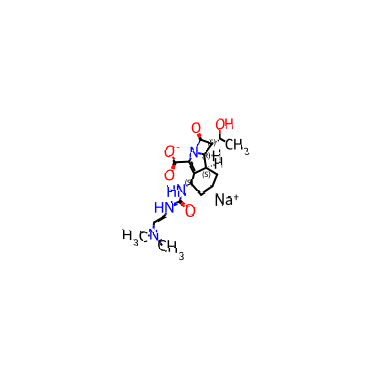 CC(O)[C@H]1C(=O)N2C(C(=O)[O-])=C3[C@@H](NC(=O)NCCN(C)C)CCC[C@@H]3[C@H]12.[Na+]